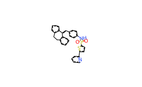 O=S(=O)(Nc1ccc(C=C2c3ccccc3CCc3ccccc32)cc1)c1ccc(-c2ccccn2)s1